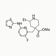 CCC1CC(Cc2nc(Nc3nccs3)ccc2F)(C(=O)OC)CCN1